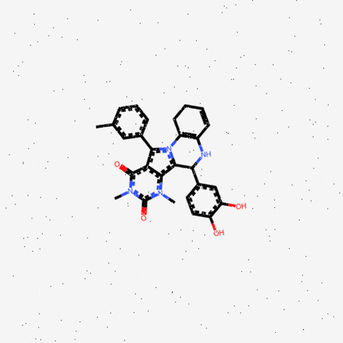 Cc1cccc(-c2c3c(=O)n(C)c(=O)n(C)c3c3n2C2=C(C=CCC2)NC3c2ccc(O)c(O)c2)c1